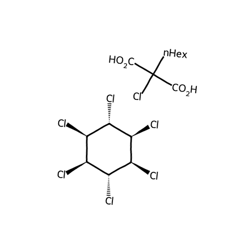 CCCCCCC(Cl)(C(=O)O)C(=O)O.Cl[C@H]1[C@H](Cl)[C@@H](Cl)[C@@H](Cl)[C@H](Cl)[C@H]1Cl